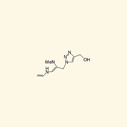 C=CN/C=C(/Cn1cc(CO)nn1)NC